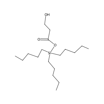 CCCCC[Si](CCCCC)(CCCCC)OC(=O)CCO